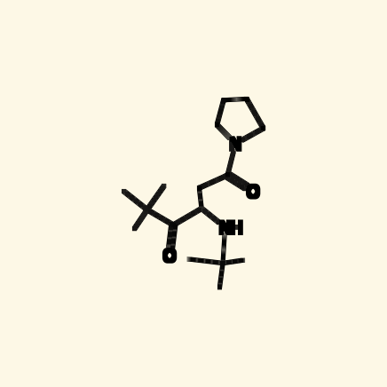 CC(C)(C)NC(CC(=O)N1CCCC1)C(=O)C(C)(C)C